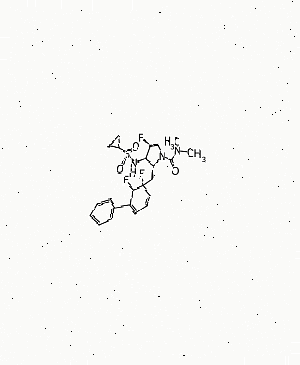 CN(C)C(=O)N1C[C@H](F)[C@H](NS(=O)(=O)C2CC2)[C@@H]1CC1(F)C=CC=C(c2ccccc2)C1F